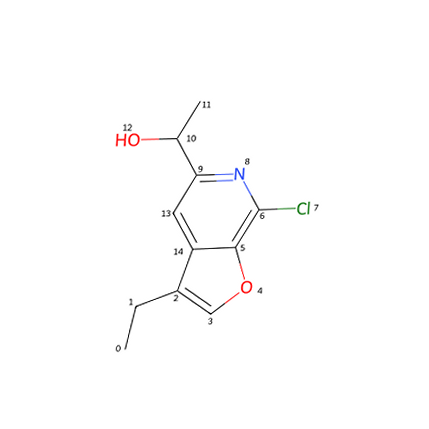 CCc1coc2c(Cl)nc(C(C)O)cc12